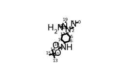 CN=CN(C1CCC(NC(=O)OC(C)(C)C)CC1)N(C)N